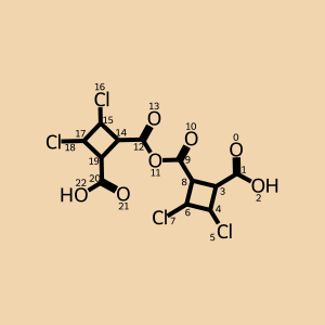 O=C(O)C1C(Cl)C(Cl)C1C(=O)OC(=O)C1C(Cl)C(Cl)C1C(=O)O